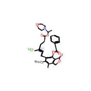 COc1c(C)c2c(c(OC(=O)c3ccccc3)c1C/C=C(\C)CCC(=O)OC(C)N1CCOCC1)C(=O)OC2.Cl